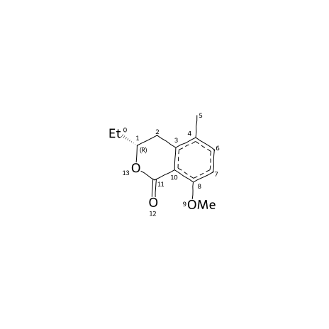 CC[C@@H]1Cc2c(C)ccc(OC)c2C(=O)O1